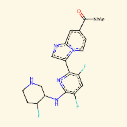 CNC(=O)c1ccn2c(-c3nc(NC4CNCCC4F)c(F)cc3F)cnc2c1